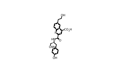 COC[C@H](Cc1ccc(O)cc1)NC(=O)c1cc(C(=O)O)c2cc(CCO)ccc2n1